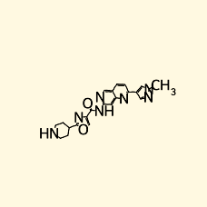 Cn1cc(-c2ccc3cnc(NC(=O)c4coc(C5CCNCC5)n4)cc3n2)cn1